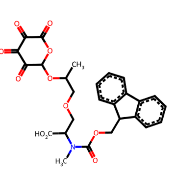 CC(COCC(C(=O)O)N(C)C(=O)OCC1c2ccccc2-c2ccccc21)OC1OC(=O)C(=O)C(=O)C1=O